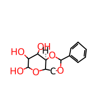 OC1OC2COC(c3ccccc3)O[C@@H]2C(O)C1O